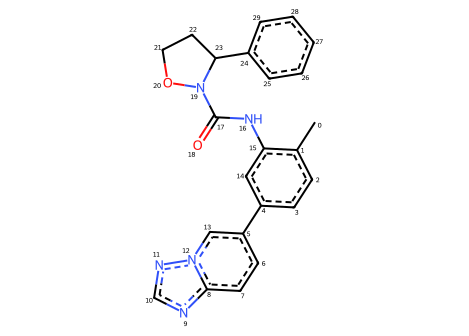 Cc1ccc(-c2ccc3ncnn3c2)cc1NC(=O)N1OCCC1c1ccccc1